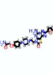 NC(=O)COc1ccc(N2CCN(CCn3c(=O)sc4c3nc(N)n3nc(-c5ccco5)nc43)CC2)cc1